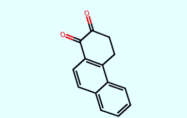 O=C1CCc2c(ccc3ccccc23)C1=O